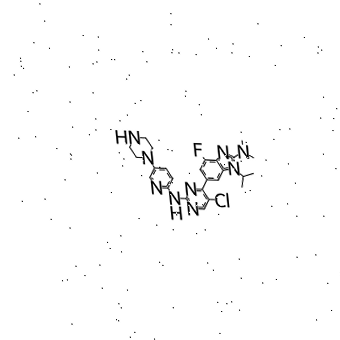 CC(C)n1c(N(C)C)nc2c(F)cc(-c3nc(Nc4ccc(N5CCNCC5)cn4)ncc3Cl)cc21